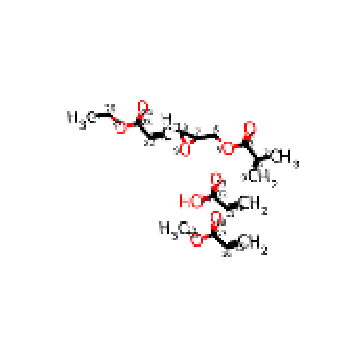 C=C(C)C(=O)OCC1CO1.C=CC(=O)O.C=CC(=O)OC.C=CC(=O)OCC